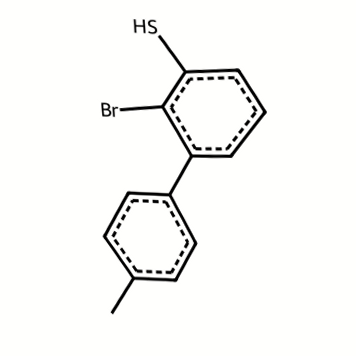 Cc1ccc(-c2cccc(S)c2Br)cc1